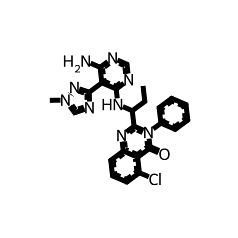 CCC(Nc1ncnc(N)c1-c1ncn(C)n1)c1nc2cccc(Cl)c2c(=O)n1-c1ccccc1